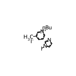 CCCC[n+]1cccc(C)c1.In1ccnc1.[I-]